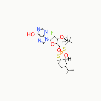 C=C(C)[C@H]1CC[C@@]2(C)S[P@](=S)(OC[C@H]3O[C@@H](n4cnc5c(O)ncnc54)[C@H](F)[C@@H]3O[Si](C)(C)C(C)(C)C)O[C@@H]2C1